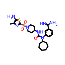 Cc1nc(S(=O)(=O)N2CCC(NC(=O)N(c3cccc(C(=N)N)c3)C3CCCCCC3)CC2)sc1N